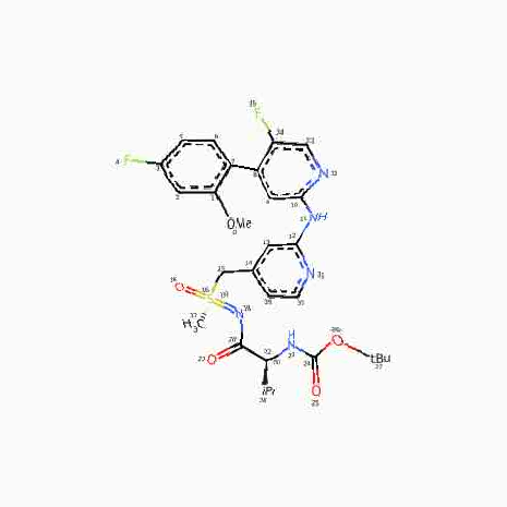 COc1cc(F)ccc1-c1cc(Nc2cc(C[S@](C)(=O)=NC(=O)[C@@H](NC(=O)OC(C)(C)C)C(C)C)ccn2)ncc1F